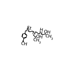 C#Cc1ccc(CN(CC)CCN(CCNC[C@H](C)O)C[C@H](C)O)cc1